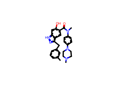 Cc1cccc(Cc2n[nH]c3cc(O)c(C(=O)N(C)c4ccc(N5CCN(C)CC5)cc4)cc23)c1